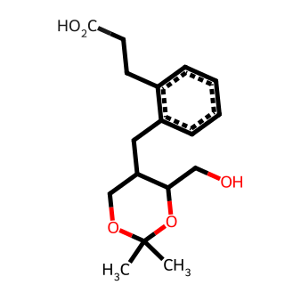 CC1(C)OCC(Cc2ccccc2CCC(=O)O)C(CO)O1